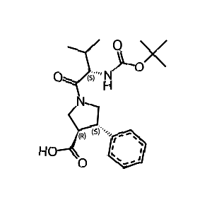 CC(C)[C@H](NC(=O)OC(C)(C)C)C(=O)N1C[C@H](C(=O)O)[C@@H](c2ccccc2)C1